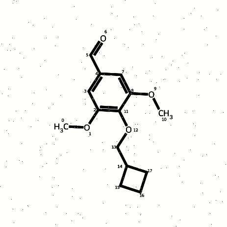 COc1cc(C=O)cc(OC)c1OCC1CCC1